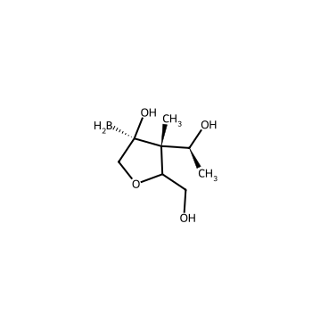 B[C@@]1(O)COC(CO)[C@@]1(C)[C@H](C)O